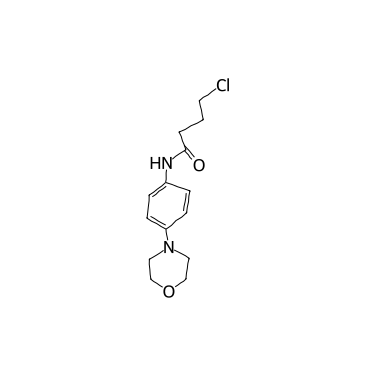 O=C(CCCCl)Nc1ccc(N2CCOCC2)cc1